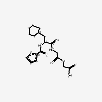 O=C(O)CNC(=O)CNC(=O)C(CC1CCCCC1)NC(=O)c1ccco1